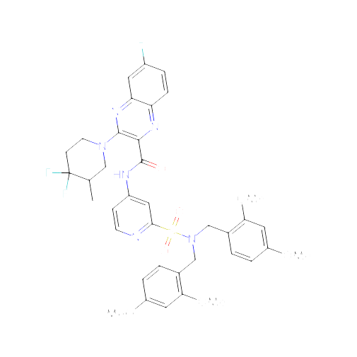 COc1ccc(CN(Cc2ccc(OC)cc2OC)S(=O)(=O)c2cc(NC(=O)c3nc4ccc(F)cc4nc3N3CCC(F)(F)C(C)C3)ccn2)c(OC)c1